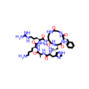 CC(C)C[C@@H]1NC(=O)[C@H](NC(=O)[C@H](CCCNC(=N)N)NC(=O)[C@H](CCCCN)NC(=O)[C@H](C)NC(=O)[C@@H](N)Cc2c[nH]cn2)CCNC(=O)CNC(=O)[C@H](Cc2ccccc2)NC1=O